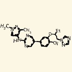 CCC(Cn1cncn1)Oc1cc(-c2cnc(Nc3cn(C)nc3C)nc2)ccc1C#N